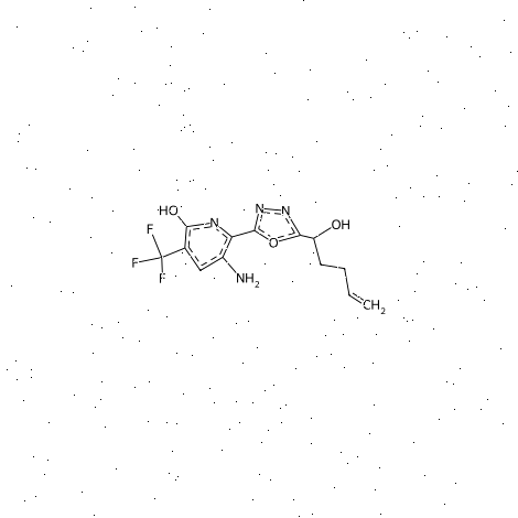 C=CCCC(O)c1nnc(-c2nc(O)c(C(F)(F)F)cc2N)o1